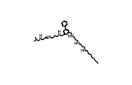 CCCCCCCCNCCCNCCCNCc1cc(CNCCCNCCCNCC(C)C)cc(-c2ccccc2)c1